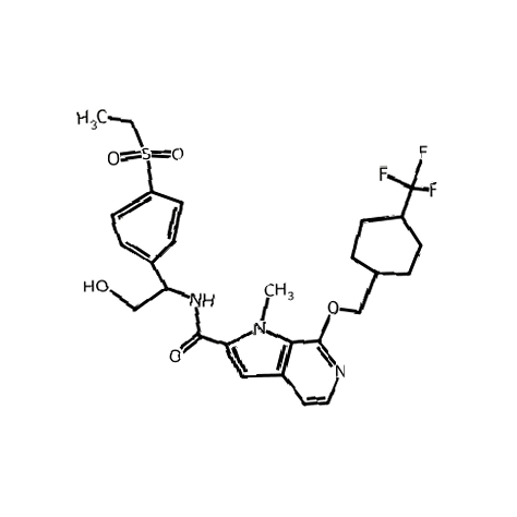 CCS(=O)(=O)c1ccc(C(CO)NC(=O)c2cc3ccnc(OCC4CCC(C(F)(F)F)CC4)c3n2C)cc1